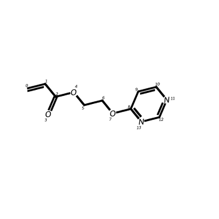 C=CC(=O)OCCOc1ccncn1